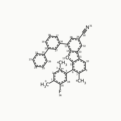 Cc1c[n+](C)c(-c2c(C)ccc3c2oc2c(-c4cccc(-c5ccccc5)c4)cc(C#N)cc23)cc1F